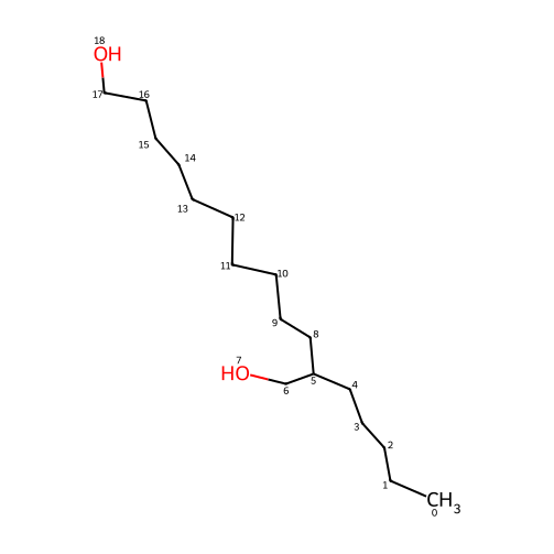 CCCCCC(CO)CCCCCCCCCCO